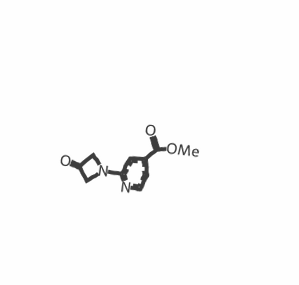 COC(=O)c1ccnc(N2CC(=O)C2)c1